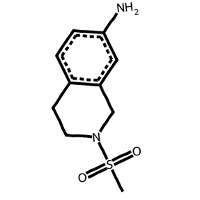 CS(=O)(=O)N1CCc2ccc(N)cc2C1